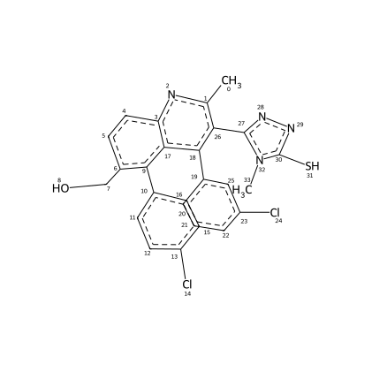 Cc1nc2ccc(CO)c(-c3ccc(Cl)cc3)c2c(-c2cccc(Cl)c2)c1-c1nnc(S)n1C